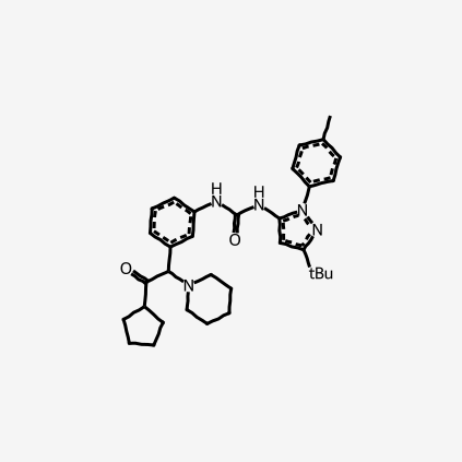 Cc1ccc(-n2nc(C(C)(C)C)cc2NC(=O)Nc2cccc(C(C(=O)C3CCCC3)N3CCCCC3)c2)cc1